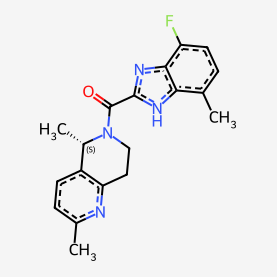 Cc1ccc2c(n1)CCN(C(=O)c1nc3c(F)ccc(C)c3[nH]1)[C@H]2C